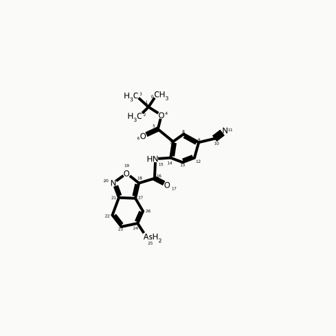 CC(C)(C)OC(=O)c1cc(C#N)ccc1NC(=O)c1onc2ccc([AsH2])cc12